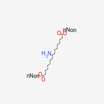 CCCCCCCCCOC(=O)CCCCCCCC(N)CCCCCCCC(=O)OCCCCCCCCC